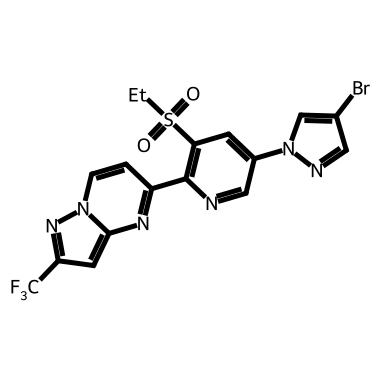 CCS(=O)(=O)c1cc(-n2cc(Br)cn2)cnc1-c1ccn2nc(C(F)(F)F)cc2n1